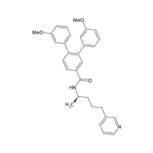 COc1cccc(-c2ccc(C(=O)N[C@H](C)CCCc3cccnc3)cc2-c2cccc(OC)c2)c1